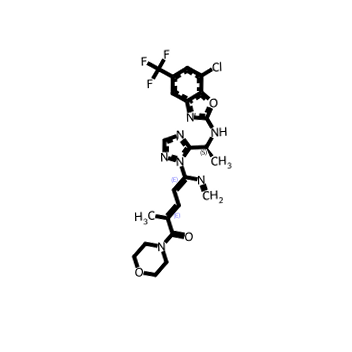 C=N/C(=C\C=C(/C)C(=O)N1CCOCC1)n1ncnc1[C@H](C)Nc1nc2cc(C(F)(F)F)cc(Cl)c2o1